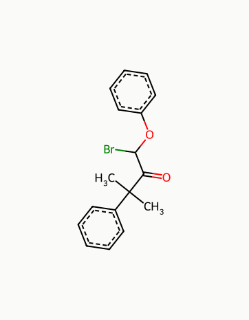 CC(C)(C(=O)C(Br)Oc1ccccc1)c1ccccc1